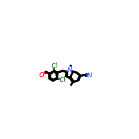 CC1=C2C=C(Cc3c(Cl)ccc(C=O)c3Cl)N(C)C2CC(C#N)=C1